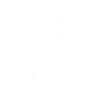 O=c1ccn(-c2ccc(N3CC4CCC(C3)O4)cc2F)nc1-c1ccnn1-c1ccccc1